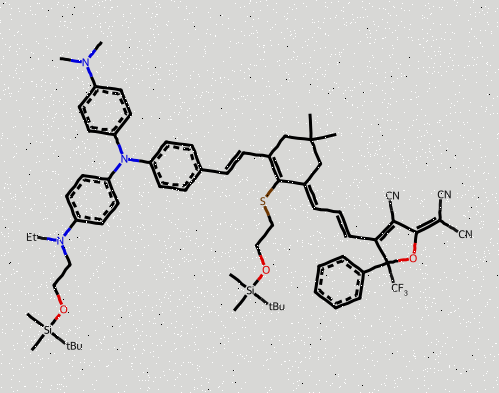 CCN(CCO[Si](C)(C)C(C)(C)C)c1ccc(N(c2ccc(/C=C/C3=C(SCCO[Si](C)(C)C(C)(C)C)C(=C/C=C/C4=C(C#N)C(=C(C#N)C#N)OC4(c4ccccc4)C(F)(F)F)/CC(C)(C)C3)cc2)c2ccc(N(C)C)cc2)cc1